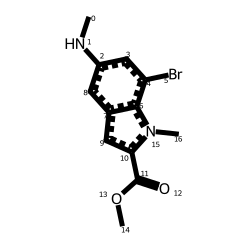 CNc1cc(Br)c2c(c1)cc(C(=O)OC)n2C